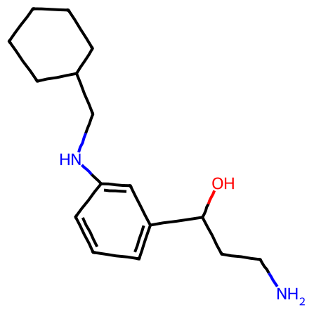 NCCC(O)c1cccc(NCC2CCCCC2)c1